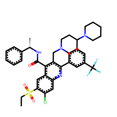 CCS(=O)(=O)c1cc2c(C(=O)N[C@@H](C)c3ccccc3)c(CN3CCC(N4CCCCC4)CC3)c(-c3cccc(C(F)(F)F)c3)nc2cc1Cl